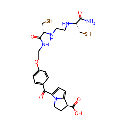 NC(=O)[C@H](CS)NCCN[C@@H](CS)C(=O)NCCOc1ccc(C(=O)c2ccc3n2CC[C@@H]3C(=O)O)cc1